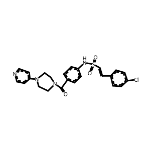 O=C(c1ccc(NS(=O)(=O)C=Cc2ccc(Cl)cc2)cc1)N1CCN(c2ccncc2)CC1